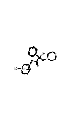 C[N+]12CCC(CC1)C(OC(=O)C(O)(CN1CCOCC1)c1ccccc1)C2.[I-]